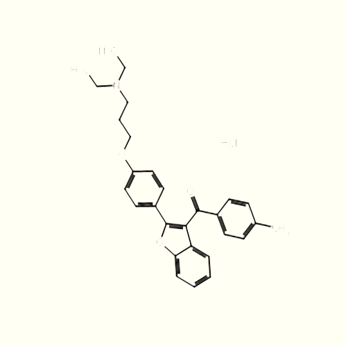 CCN(CC)CCCOc1ccc(-c2oc3ccccc3c2C(=O)c2ccc(C)cc2)cc1.Cl